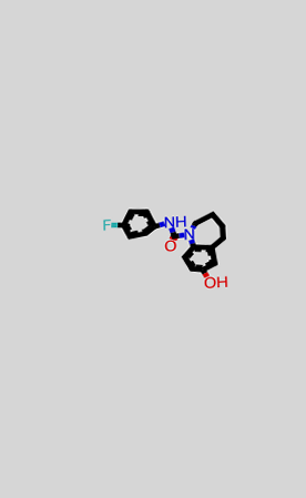 O=C(Nc1ccc(F)cc1)N1CCCCc2cc(O)ccc21